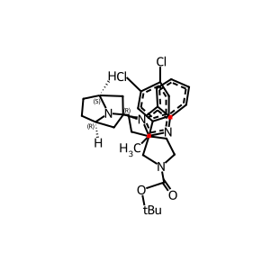 Cc1nc2ccccc2n1[C@H]1C[C@H]2CC[C@@H](C1)N2CCC1(c2ccc(Cl)c(Cl)c2)CCN(C(=O)OC(C)(C)C)C1